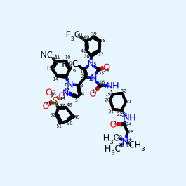 Cc1c(-c2ccnn2-c2ccc(C#N)cc2)n(C(=O)N[C@H]2CC[C@H](NC(=O)C[N+](C)(C)C)CC2)c(=O)n1-c1cccc(C(F)(F)F)c1.O=S(=O)([O-])c1ccccc1